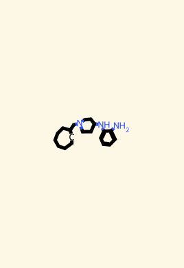 Nc1ccccc1NC1CCN(CC2CCCCCCC2)CC1